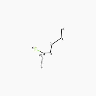 [CH2]CCC[C@H](C)F